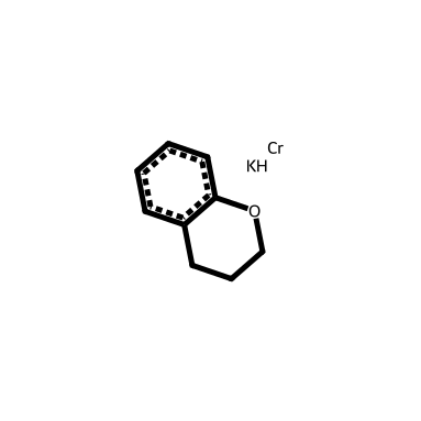 [Cr].[KH].c1ccc2c(c1)CCCO2